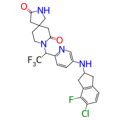 O=C1CC2(CCN(C(c3ccc(NC4Cc5ccc(Cl)c(F)c5C4)cn3)C(F)(F)F)C(=O)C2)CN1